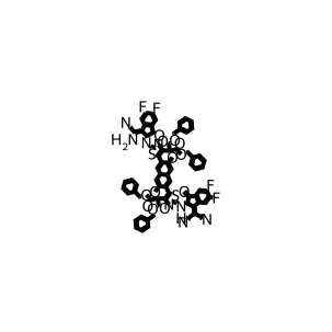 N#CC(C#N)=C1c2cc(F)c(F)cc2C(=O)C1Nc1nc2c(s1)C1=CC3C=C4OC(C(=O)OCc5ccccc5)(C(=O)OCc5ccccc5)c5nc(/N=C6\C(=O)c7cc(F)c(F)cc7\C6=C(\N)C#N)sc5C4=CC3C=C1OC2(C(=O)OCc1ccccc1)C(=O)OCc1ccccc1